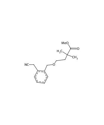 COC(=O)C(C)(C)CCOCc1ccccc1CC#N